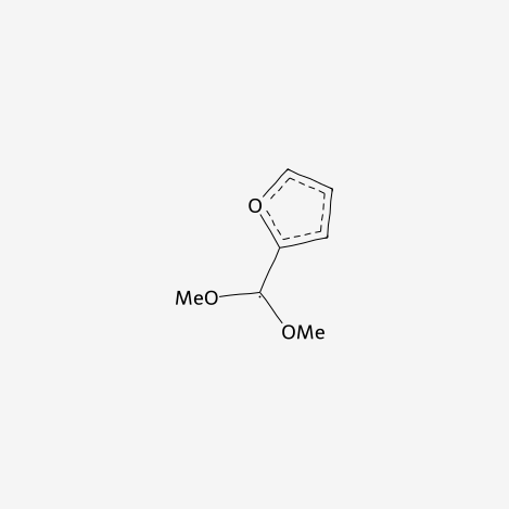 CO[C](OC)c1ccco1